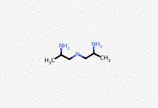 CC(N)C[N]CC(C)N